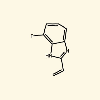 C=Cc1nc2cccc(F)c2[nH]1